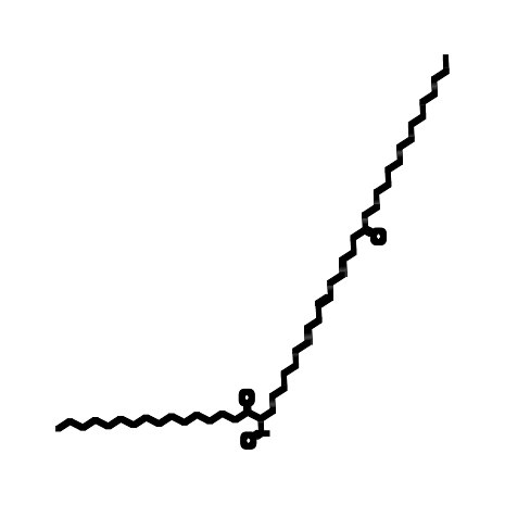 CCCCCCCCCCCCCCCC(=O)CCC=CCC=CCC=CCCCCCCC([C]=O)C(=O)CCCCCCCCCCCCCCC